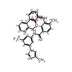 Cc1cn(-c2cc(NC(=O)c3ccc(C)c(Nc4nccc(-c5cccnc5COC(=O)NC(C)C)n4)c3)cc(C(F)(F)F)c2)cn1